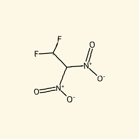 O=[N+]([O-])C([C](F)F)[N+](=O)[O-]